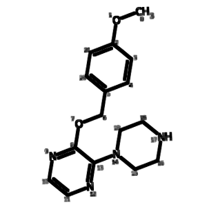 COc1ccc(COc2nccnc2N2CCNCC2)cc1